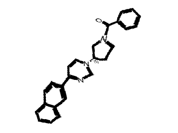 O=C(c1ccccc1)N1CC[C@H](N2C=CC(c3ccc4ccccc4c3)=NC2)C1